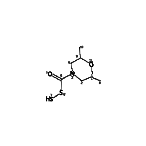 CC1CN(C(=O)SS)CC(C)O1